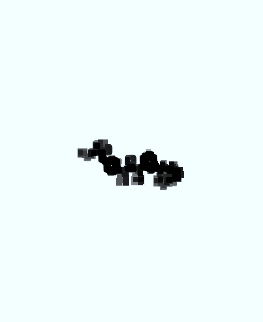 C[C@H](Sc1nncn1C)c1cccc(NC(=O)Nc2ccc(CC(=O)N(C)C)cc2)c1